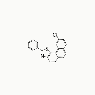 Clc1ccc2ccc3ccc4nc(-c5ccccc5)sc4c3c2c1